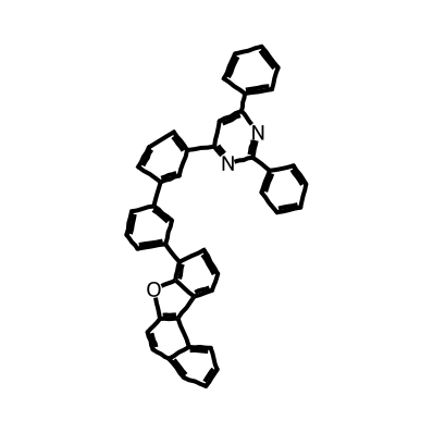 c1ccc(-c2cc(-c3cccc(-c4cccc(-c5cccc6c5oc5ccc7ccccc7c56)c4)c3)nc(-c3ccccc3)n2)cc1